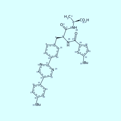 C[C@H](NC(=O)[C@H](Cc1ccc(-c2ncc(-c3ccc(C(C)(C)C)cc3)cn2)cc1)NC(=O)c1ccc(C(C)(C)C)s1)C(=O)O